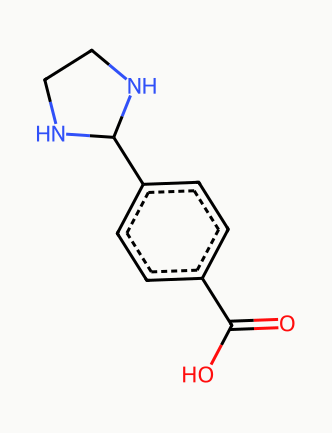 O=C(O)c1ccc(C2NCCN2)cc1